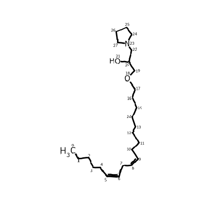 CCCCC/C=C\C/C=C\CCCCCCCCOCC(O)CN1CCCC1